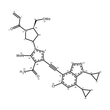 C=CC(=O)N1CC(n2nc(C#Cc3c(Cl)cc(C4CC4)c4c3cnn4C3CC3)c(C(N)=O)c2NC)C[C@@H]1COC